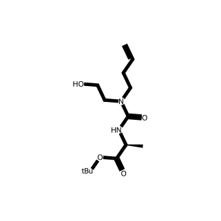 C=CCCN(CCO)C(=O)N[C@@H](C)C(=O)OC(C)(C)C